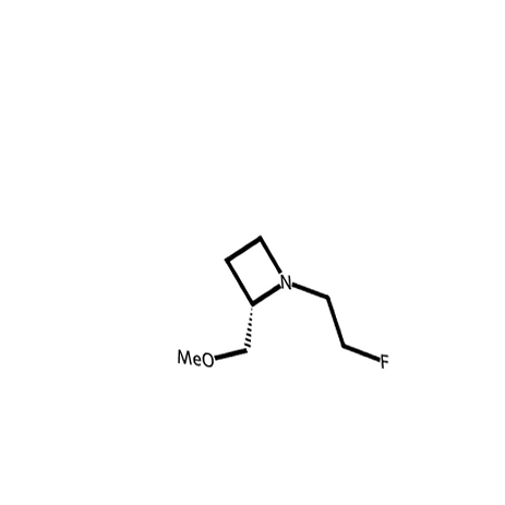 COC[C@@H]1CCN1CCF